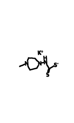 CN1CCN(NC(=S)[S-])CC1.[K+]